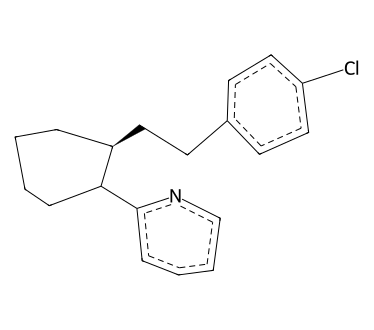 Clc1ccc(CC[C@@H]2CCCCC2c2ccccn2)cc1